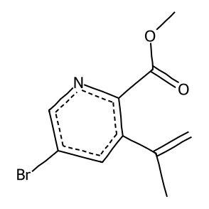 C=C(C)c1cc(Br)cnc1C(=O)OC